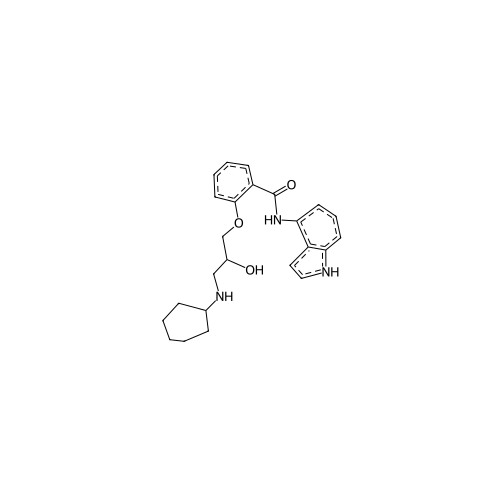 O=C(Nc1cccc2[nH]ccc12)c1ccccc1OCC(O)CNC1CCCCC1